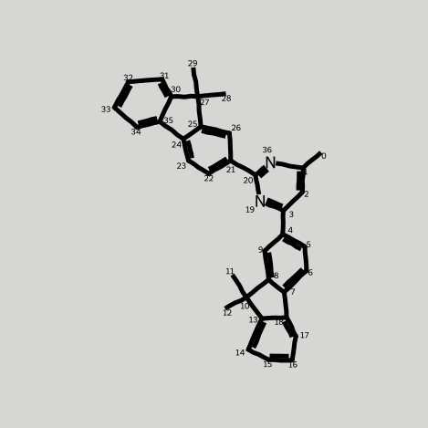 Cc1cc(-c2ccc3c(c2)C(C)(C)c2ccccc2-3)nc(-c2ccc3c(c2)C(C)(C)c2ccccc2-3)n1